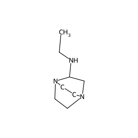 CCNC1CN2CCN1CC2